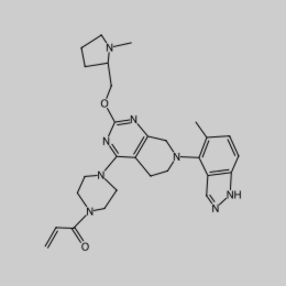 C=CC(=O)N1CCN(c2nc(OCC3CCCN3C)nc3c2CCN(c2c(C)ccc4[nH]ncc24)C3)CC1